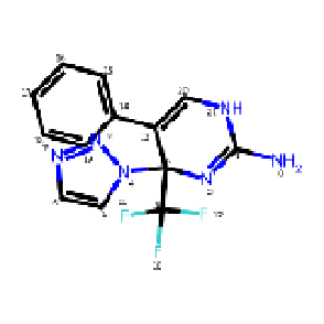 NC1=NC(n2ccnn2)(C(F)(F)F)C(c2ccccc2)=CN1